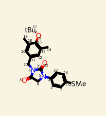 CSc1ccc(N2CC(=O)N(Cc3cc(C)c(OC(C)(C)C)c(C)c3)C2=O)cc1